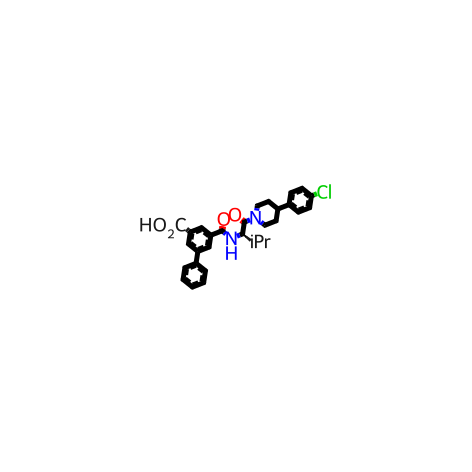 CC(C)[C@@H](NC(=O)c1cc(C(=O)O)cc(-c2ccccc2)c1)C(=O)N1CCC(c2ccc(Cl)cc2)CC1